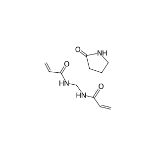 C=CC(=O)NCNC(=O)C=C.O=C1CCCN1